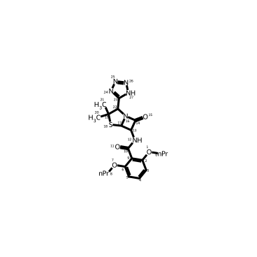 CCCOc1cccc(OCCC)c1C(=O)NC1C(=O)N2C1SC(C)(C)C2c1nnn[nH]1